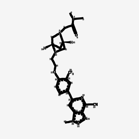 CN(C)C(=O)CN1C[C@@H]2C[C@H]1CN2CCOc1ccc(-c2cc3c(nnn3C)c(C#N)n2)cc1C(F)(F)F